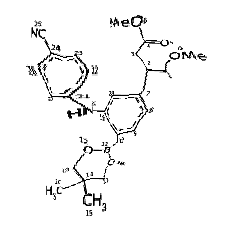 COCC(CC(=O)OC)c1ccc(B2OCC(C)(C)CO2)c(Nc2ccc(C#N)cc2)c1